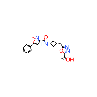 C[C@H](O)c1nnc(C[C@H]2C[C@H](NC(=O)c3cc(-c4ccccc4)on3)C2)o1